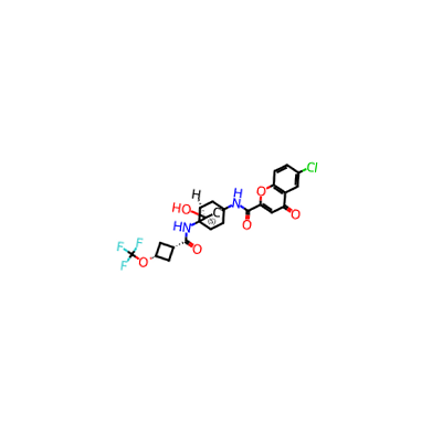 O=C(NC12CCC(NC(=O)[C@H]3C[C@@H](OC(F)(F)F)C3)(CC1)[C@@H](O)C2)c1cc(=O)c2cc(Cl)ccc2o1